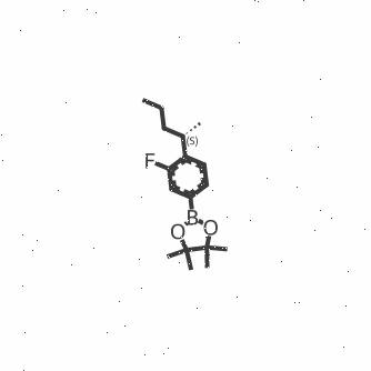 CCC[C@H](C)c1ccc(B2OC(C)(C)C(C)(C)O2)cc1F